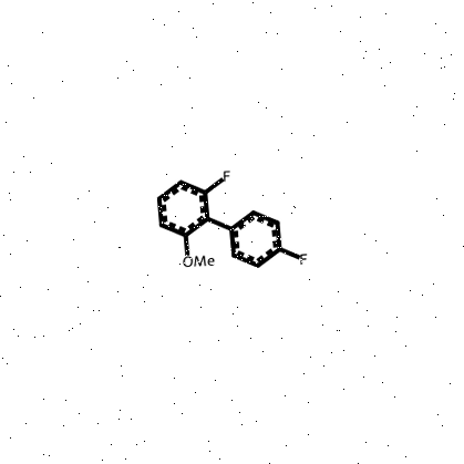 COc1cccc(F)c1-c1ccc(F)cc1